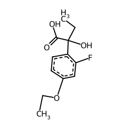 CCOc1ccc(C(O)(CC)C(=O)O)c(F)c1